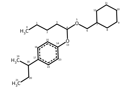 CCCCC(OCC1CCCCC1)Oc1ccc(C(C)CC)cc1